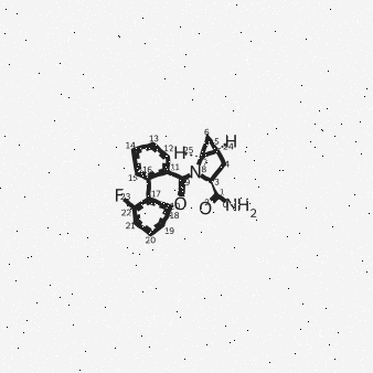 NC(=O)[C@@H]1C[C@@H]2C[C@@H]2N1C(=O)c1ccccc1-c1ccccc1F